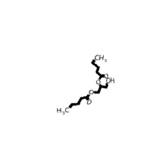 CCCCC(=O)OCC(CO)OC(=O)CCCC